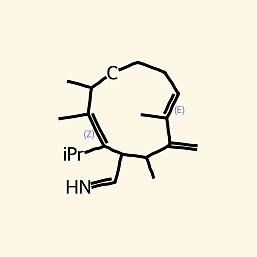 C=C1/C(C)=C/CCCC(C)/C(C)=C(/C(C)C)C(C=N)C1C